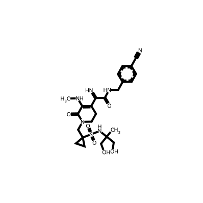 CNC1=C(C(=N)C(=O)NCc2ccc(C#N)cc2)CCN(CC2(S(=O)(=O)NC(C)(CO)CO)CC2)C1=O